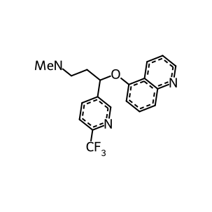 CNCCC(Oc1cccc2ncccc12)c1ccc(C(F)(F)F)nc1